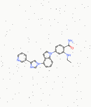 CCNc1cc(-n2ccc3c(-n4cnc(-c5cccnc5)c4)cccc32)ccc1C(N)=O